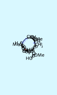 COC1C(=O)C(C)C[C@H](C)/C=C/C=C/C=C(\C)[C@@H](OC)C[C@@H]2CCC(C)C(O)(O2)C(=O)C(=O)N2CCC3CC2C(=O)OC(CC(=O)C(C)/C=C(\C)C1O)[C@H]3CC1CC[C@@H](OCCO)C(OC)C1